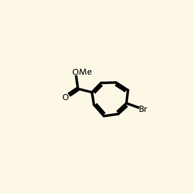 COC(=O)C1=C/C=C\C(Br)=C/C=C\1